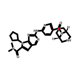 CN(C)C(=O)c1cc2cnc(Nc3ccc(C(=O)N4[C@@H]5CNC[C@H]4COC5)cn3)nc2n1C1CCCC1